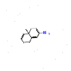 CC12C=CC=CC1=CC(N)=CC2